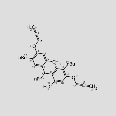 C=C=COc1cc(C)c(C(CCC)c2cc(CCCC)c(OC=C=C)cc2C)cc1CCCC